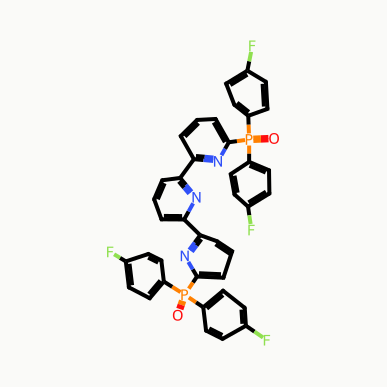 O=P(c1ccc(F)cc1)(c1ccc(F)cc1)c1cccc(-c2cccc(-c3cccc(P(=O)(c4ccc(F)cc4)c4ccc(F)cc4)n3)n2)n1